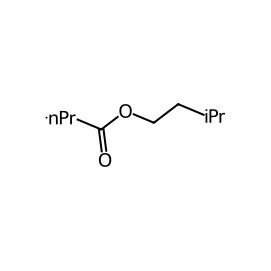 CC[CH]C(=O)OCCC(C)C